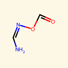 N/C=N\OC=O